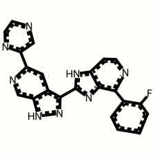 Fc1ccccc1-c1nccc2[nH]c(-c3n[nH]c4cnc(-c5cnccn5)cc34)nc12